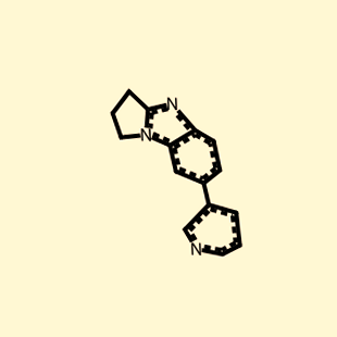 c1cncc(-c2ccc3nc4n(c3c2)CCC4)c1